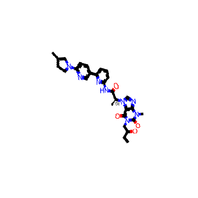 CCC(=O)Cn1c(=O)c2c(ncn2[C@@H](C)C(=O)Nc2cccc(-c3ccc(N4CCC(C)C4)nc3)n2)n(C)c1=O